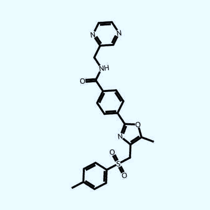 Cc1ccc(S(=O)(=O)Cc2nc(-c3ccc(C(=O)NCc4cnccn4)cc3)oc2C)cc1